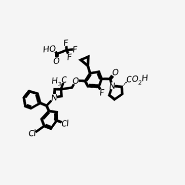 CC1(COc2cc(F)c(C(=O)N3CCC[C@H]3C(=O)O)cc2C2CC2)CN(C(c2ccccc2)c2cc(Cl)cc(Cl)c2)C1.O=C(O)C(F)(F)F